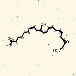 CCC1OC1C/C=C\C/C=C\C=C/C(O)C/C=C\CCCCCC(=O)O